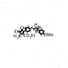 CCOC(=O)c1c(-c2ccc(CCNS(=O)(=O)c3ccc(OC)cc3)cc2)c(C#N)c(CC)n1C